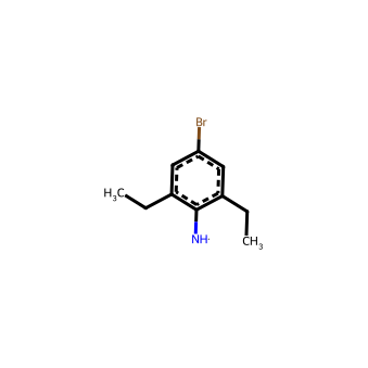 CCc1cc(Br)cc(CC)c1[NH]